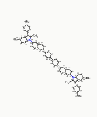 Cc1c(-c2ccc(C(C)(C)C)cc2)c2cc(C(C)(C)C)ccc2n1-c1ccc2cc(-c3ccc(-c4ccc(-c5ccc6cc(-n7c(C)c(-c8ccc(C(C)(C)C)cc8)c8cc(C(C)(C)C)ccc87)ccc6c5)cc4)cc3)ccc2c1